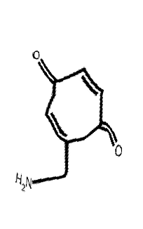 NCC1=CC(=O)C=CC1=O